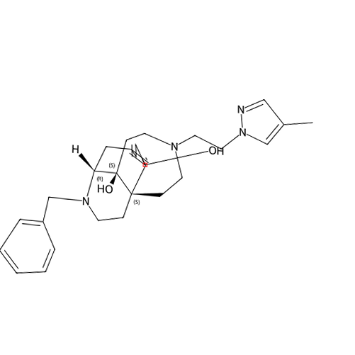 Cc1cnn(CCN2CC[C@]34CCN(Cc5ccccc5)[C@H](Cc5ccc(O)cc53)[C@]4(O)CC2)c1